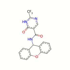 O=C(NC1c2ccccc2Oc2ccccc21)c1cnc(C(F)(F)F)[nH]c1=O